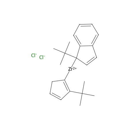 CC(C)(C)C1=[C]([Zr+2][C]2(C(C)(C)C)C=Cc3ccccc32)CC=C1.[Cl-].[Cl-]